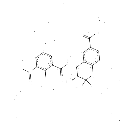 CC(=O)c1ccc2c(c1)[C@@H](NC(=O)c1cccc([N+](=O)[O-])c1Cl)[C@H](O)C(C)(C)O2